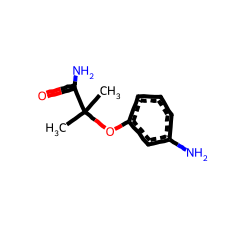 CC(C)(Oc1cccc(N)c1)C(N)=O